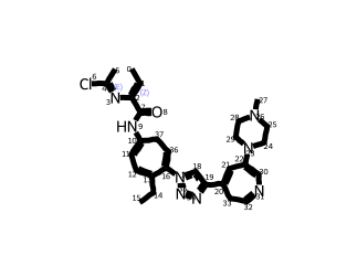 C/C=C(\N=C(/C)Cl)C(=O)NC1=CC=C(CC)C(n2cc(C3=CC(N4CCN(C)CC4)=CN=CC3)nn2)=CC1